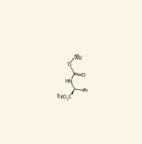 CCOC(=O)[C@@H](NC(=O)OC(C)(C)C)C(C)C